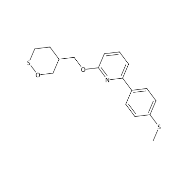 CSc1ccc(-c2cccc(OCC3CCSOC3)n2)cc1